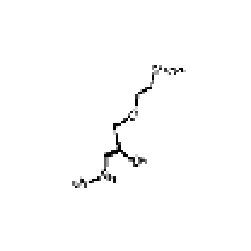 CCCCCCCCCOCC(O)CNCCC